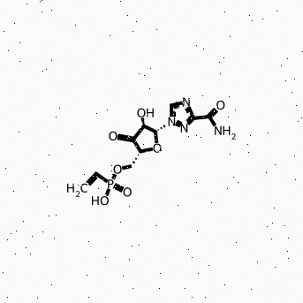 C=CP(=O)(O)OC[C@H]1O[C@@H](n2cnc(C(N)=O)n2)[C@H](O)C1=O